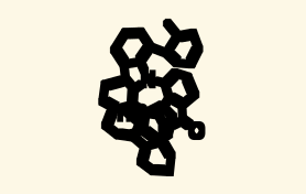 Cc1ccccc1-c1cccc2c3cccc(-c4ccccc4C)c3n(-c3cccc4c3C(O)N(c3ccccc3-c3ccccc3)C4=O)c12